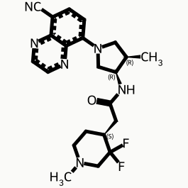 C[C@@H]1CN(c2ccc(C#N)c3nccnc23)C[C@@H]1NC(=O)C[C@@H]1CCN(C)CC1(F)F